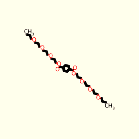 CCCCOCCCOCCCOCCCOC(=O)c1ccc(C(=O)OCCCOCCCOCCCOCCCC)cc1